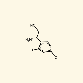 N[C@H](CO)c1ccc(Cl)cc1F